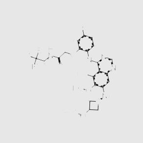 COc1c(N=S2CC(OC)C2)cc2ncnc(Nc3ccc(F)cc3OCC(=O)NCC(F)(F)F)c2c1C